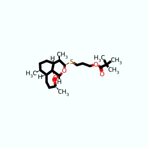 C[C@H]1[C@H](SCCCOC(=O)C(C)(C)C)O[C@@H]2O[C@]3(C)CC[C@H]4[C@H](C)CC[C@@H]1[C@@]24OO3